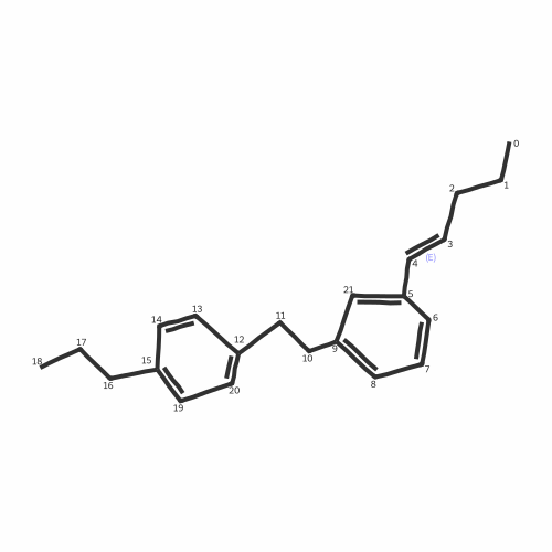 CCC/C=C/c1cccc(CCc2ccc(CCC)cc2)c1